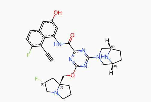 C#Cc1c(F)ccc2cc(O)cc(NC(=O)c3nc(OC[C@@]45CCCN4C[C@H](F)C5)nc(N4C[C@H]5CC[C@@H](C4)N5)n3)c12